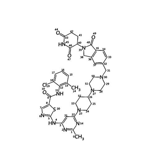 Cc1nc(Nc2ncc(C(=O)Nc3c(C)cccc3Cl)s2)cc(N2CCC(N3CCN(Cc4ccc5c(c4)CN(C4CCC(=O)NC4=O)C5=O)CC3)CC2)n1